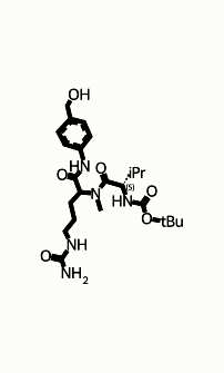 CC(C)[C@H](NC(=O)OC(C)(C)C)C(=O)N(C)C(CCCNC(N)=O)C(=O)Nc1ccc(CO)cc1